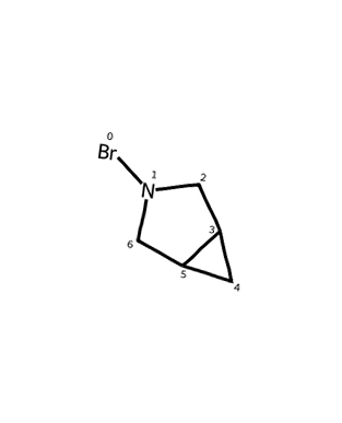 BrN1CC2CC2C1